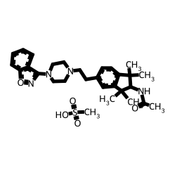 CC(=O)NC1C(C)(C)c2ccc(CCN3CCN(c4noc5ccccc45)CC3)cc2C1(C)C.CS(=O)(=O)O